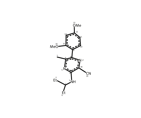 CCC(CC)Nc1nc(C)c(-c2ccc(OC)cc2OC)nc1C#N